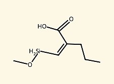 CCCC(=C[SiH2]OC)C(=O)O